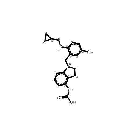 O=C(O)Oc1cccc2c1CCN2Cc1cc(Cl)ccc1OCC1CC1